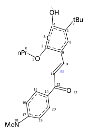 CCCOc1cc(O)c(C(C)(C)C)cc1/C=C/C(=O)c1ccc(NC)cc1